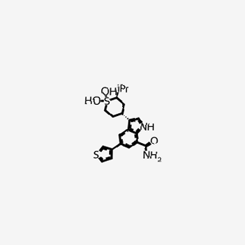 CC(C)[C@H]1C[C@H](c2c[nH]c3c(C(N)=O)cc(-c4ccsc4)cc23)CCS1(O)O